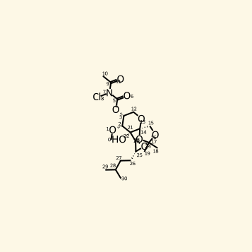 CO[C@@H]1[C@H](OC(=O)N(Cl)C(C)=O)CO[C@]2(COC(C)(C)O2)[C@@]1(O)[C@@H]1O[C@@H]1CCC(C)C